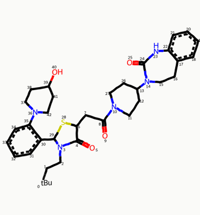 CC(C)(C)CCN1C(=O)C(CC(=O)N2CCC(N3CCc4ccccc4NC3=O)CC2)SC1c1ccccc1N1CCC(O)CC1